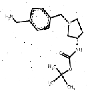 CC(C)(C)OC(=O)N[C@H]1CCN(Cc2ccc(CN)cc2)C1